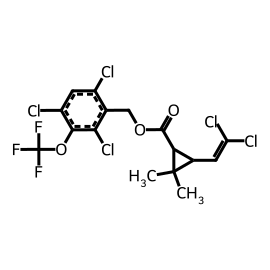 CC1(C)C(C=C(Cl)Cl)C1C(=O)OCc1c(Cl)cc(Cl)c(OC(F)(F)F)c1Cl